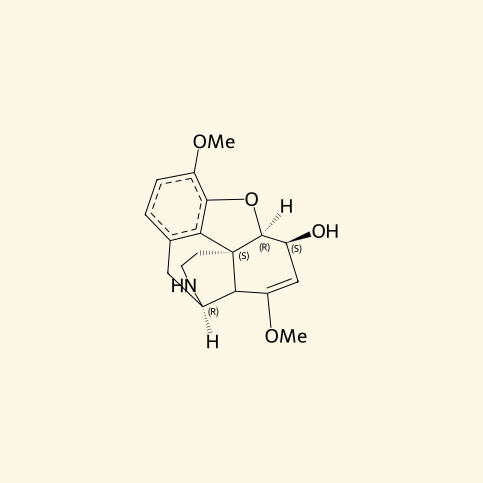 COC1=C[C@H](O)[C@@H]2Oc3c(OC)ccc4c3[C@@]23CCN[C@H](C4)C13